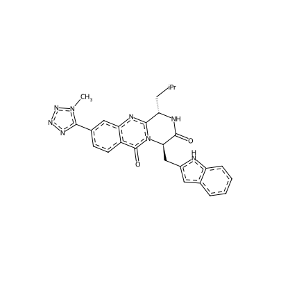 CC(C)C[C@@H]1NC(=O)[C@@H](Cc2cc3ccccc3[nH]2)n2c1nc1cc(-c3nnnn3C)ccc1c2=O